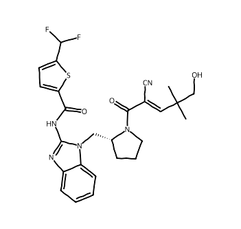 CC(C)(C=C(C#N)C(=O)N1CCC[C@@H]1Cn1c(NC(=O)c2ccc(C(F)F)s2)nc2ccccc21)CO